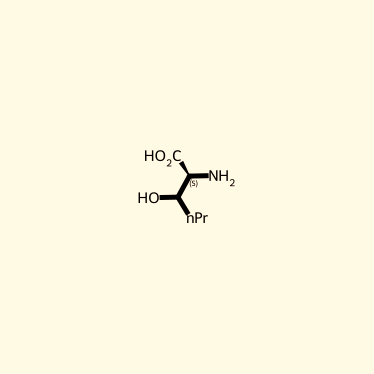 CCCC(O)[C@H](N)C(=O)O